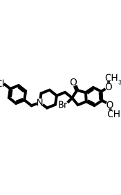 COc1cc2c(cc1OC)C(=O)C(Br)(CC1CCN(Cc3ccc(Cl)cc3)CC1)C2